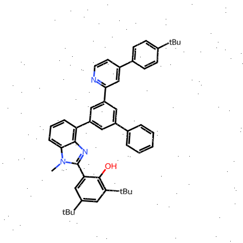 Cn1c(-c2cc(C(C)(C)C)cc(C(C)(C)C)c2O)nc2c(-c3cc(-c4ccccc4)cc(-c4cc(-c5ccc(C(C)(C)C)cc5)ccn4)c3)cccc21